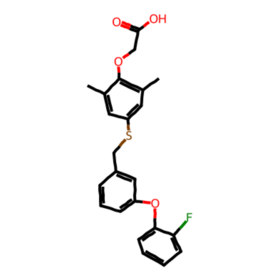 Cc1cc(SCc2cccc(Oc3ccccc3F)c2)cc(C)c1OCC(=O)O